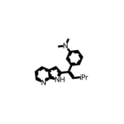 CC(C)C=C(c1cccc(N(C)C)c1)c1cc2cccnc2[nH]1